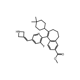 COC(=O)c1ccc2c(c1)CCCC(C1CCC(C)(C)CC1)=C2c1ncc(C=C2CNC2)cc1F